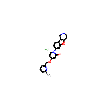 Cl.O=c1cc(OCc2cccc(C(F)(F)F)n2)ccn1-c1ccc2c3c(oc2c1)CCNC3